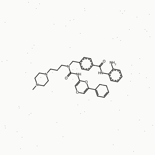 CN1CCN(CCCN(Cc2ccc(C(=O)Nc3ccccc3N)cc2)C(=O)NC2=COC=C(C3=CC=CCC3)O2)CC1